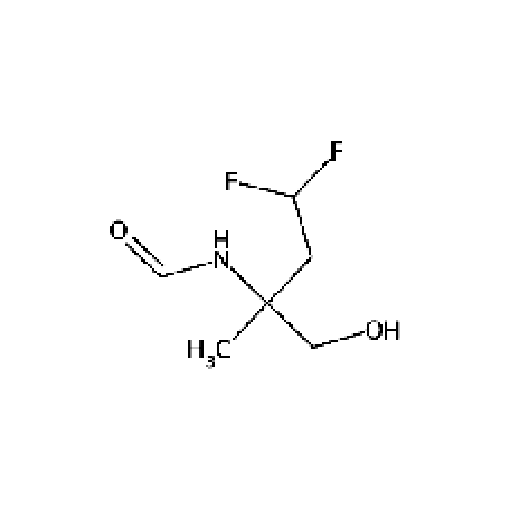 CC(CO)(CC(F)F)NC=O